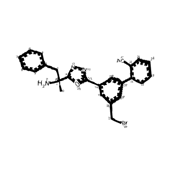 C[C@@](N)(Cc1ccccc1)c1nnc(-c2cc(CBr)cc(-c3ccccc3C#N)c2)o1